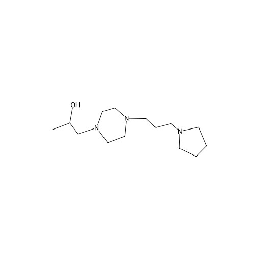 CC(O)CN1CCN(CCCN2CCCC2)CC1